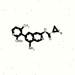 COc1nccc(C)c1-c1cc(N)c2cnc(NC(=O)[C@@H]3C[C@@H]3F)cc2c1